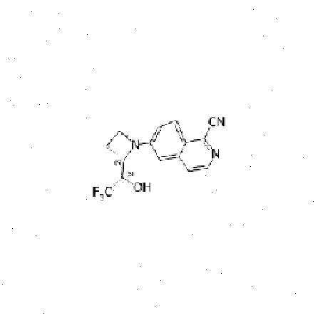 N#Cc1nccc2cc(N3CC[C@H]3[C@H](O)C(F)(F)F)ccc12